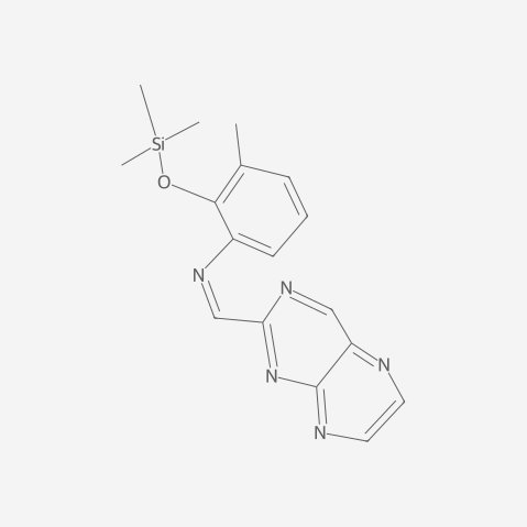 Cc1cccc(/N=C\c2ncc3nccnc3n2)c1O[Si](C)(C)C